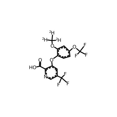 [2H]C([2H])([2H])Oc1cc(OC(F)(F)F)ccc1Oc1cc(C(F)(F)F)cnc1C(=O)O